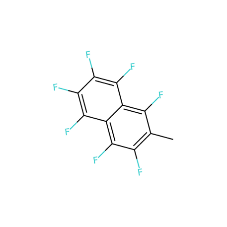 Cc1c(F)c(F)c2c(F)c(F)c(F)c(F)c2c1F